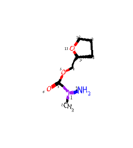 CI(N)C(=O)OCC1CCCO1